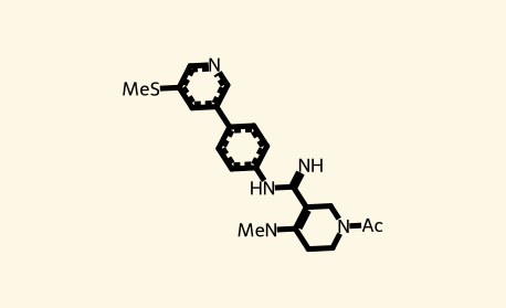 CNC1=C(C(=N)Nc2ccc(-c3cncc(SC)c3)cc2)CN(C(C)=O)CC1